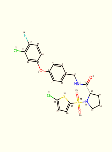 O=C(NCc1ccc(Oc2ccc(F)c(Cl)c2)cc1)[C@@H]1CCCN1S(=O)(=O)c1ccc(Cl)s1